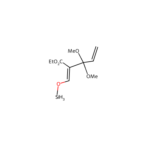 C=CC(OC)(OC)C(=CO[SiH3])C(=O)OCC